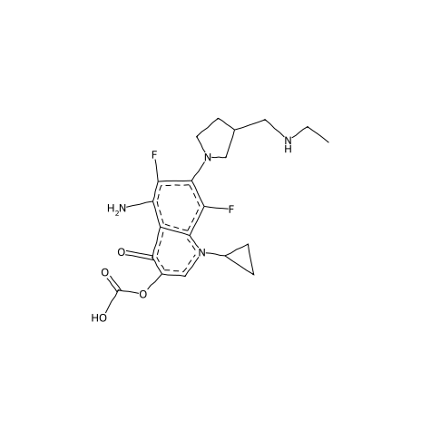 CCNCC1CCN(c2c(F)c(N)c3c(=O)c(OC(=O)O)cn(C4CC4)c3c2F)C1